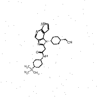 C[Si](C)(C)[C@H]1CC[C@@H](NC(=O)Cc2nc3cnc4[nH]ccc4c3n2[C@H]2CC[C@H](CC#N)CC2)CC1